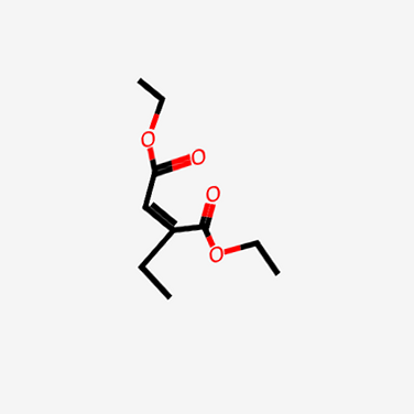 CCOC(=O)C=C(CC)C(=O)OCC